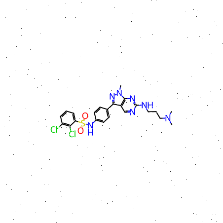 CN(C)CCCNc1ncc2c(-c3ccc(NS(=O)(=O)c4cccc(Cl)c4Cl)cc3)nn(C)c2n1